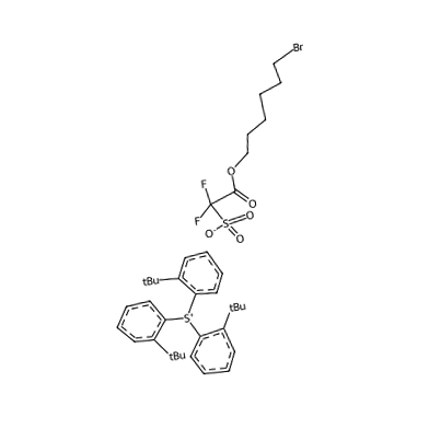 CC(C)(C)c1ccccc1[S+](c1ccccc1C(C)(C)C)c1ccccc1C(C)(C)C.O=C(OCCCCCCBr)C(F)(F)S(=O)(=O)[O-]